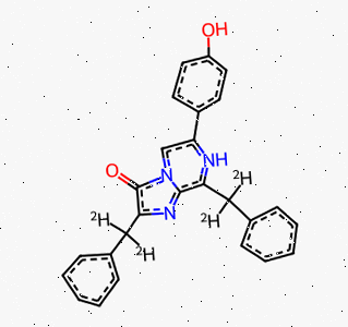 [2H]C([2H])(c1ccccc1)c1[nH]c(-c2ccc(O)cc2)cn2c(=O)c(C([2H])([2H])c3ccccc3)nc1-2